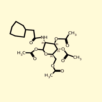 CC(=O)OC[C@H]1OC(OC(C)=O)[C@H](NC(=O)CC2CCCCCC2)[C@@H](OC(C)=O)[C@@H]1OC(C)=O